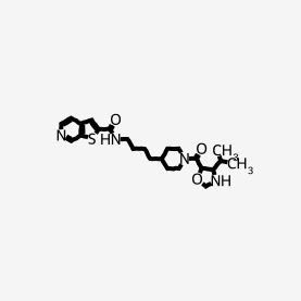 CC(C)C1NCOC1C(=O)N1CCC(CCCCNC(=O)c2cc3ccncc3s2)CC1